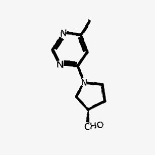 Cc1cc(N2CC[C@@H](C=O)C2)ncn1